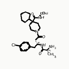 C[C@@H](N)C(=O)N[C@@H](CC(=O)N1CCC(C(=O)NC(C)(C)C)(C2CCCCC2)CC1)Cc1ccc(Cl)cc1